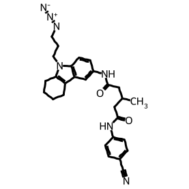 CC(CC(=O)Nc1ccc(C#N)cc1)CC(=O)Nc1ccc2c(c1)c1c(n2CCCN=[N+]=[N-])CCCC1